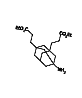 CCOC(=O)CCC12CC3CC(N)(C1)CC(CCC(=O)OCC)(C3)C2